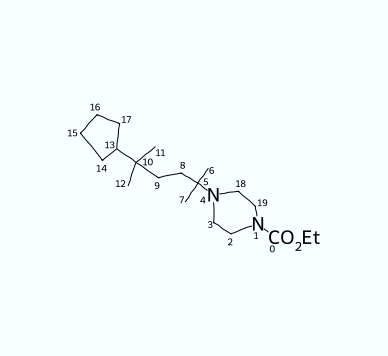 CCOC(=O)N1CCN(C(C)(C)CCC(C)(C)C2CCCC2)CC1